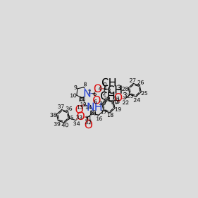 CC(C)(C)OC(=O)N1CCC[C@H]1C(=O)N[C@@H](Cc1ccc(OCc2ccccc2)cc1)C(=O)OCc1ccccc1